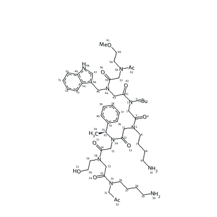 CCCCN(CC(=O)N(CCCCN)CC(=O)N(CC(=O)N(CCO)CC(=O)N(CCCCN)CC(C)=O)[C@@H](C)c1ccccc1)C(=O)CN(Cc1c[nH]c2ccccc12)C(=O)CN(CCOC)C(C)=O